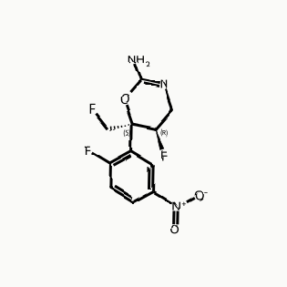 NC1=NC[C@@H](F)[C@@](CF)(c2cc([N+](=O)[O-])ccc2F)O1